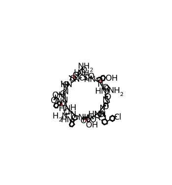 CCCC[C@H]1C(=O)N(C)[C@@H](CCCC)C(=O)N[C@@H](CC(C)C)C(=O)N[C@H](C(=O)NCC(N)=O)CSCC(=O)N[C@@H](Cc2ccc(O)cc2)C(=O)N(C)[C@@H](C)C(=O)N[C@@H](CC(N)=O)C(=O)N2CCC[C@H]2C(=O)N[C@@H](CNCc2ccccc2-c2ccc(Cl)cc2)C(=O)N[C@@H](CC(C)C)C(=O)N2C[C@H](O)C[C@H]2C(=O)N[C@@H](Cc2c[nH]c3ccccc23)C(=O)N[C@@H](CCN)C(=O)N[C@@H](Cc2cn(CC(=O)O)c3ccccc23)C(=O)N1C